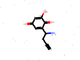 C#CCC(N)C1=CC(=O)C=C(O)C1=O